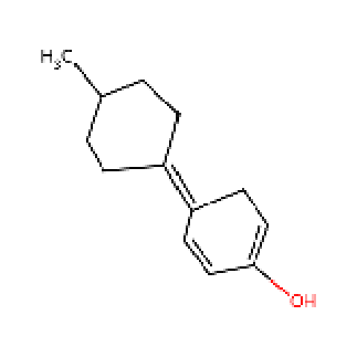 CC1CCC(=C2C=CC(O)=CC2)CC1